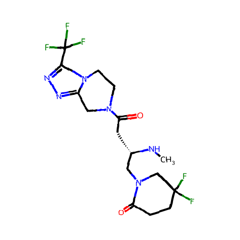 CN[C@@H](CC(=O)N1CCn2c(nnc2C(F)(F)F)C1)CN1CC(F)(F)CCC1=O